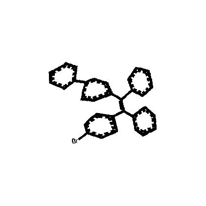 Brc1ccc(C(=C(c2ccccc2)c2ccc(-c3ccccc3)cc2)c2ccccc2)cc1